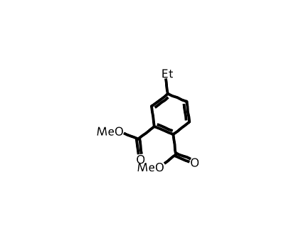 CCc1ccc(C(=O)OC)c(C(=O)OC)c1